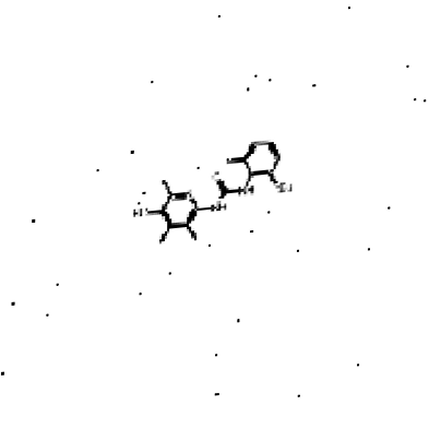 Cc1cccc(C(C)(C)C)c1NC(=O)Nc1nc(C)c(O)c(C)c1C